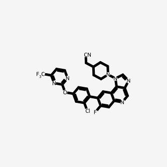 N#CCC1CCN(n2cnc3cnc4cc(F)c(-c5ccc(Oc6nccc(C(F)(F)F)n6)cc5Cl)cc4c32)CC1